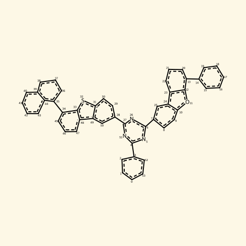 c1ccc(-c2nc(-c3ccc4oc5c(-c6ccccc6)cccc5c4c3)nc(-c3ccc4sc5c(-c6cccc7ccccc67)cccc5c4c3)n2)cc1